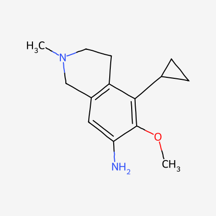 COc1c(N)cc2c(c1C1CC1)CCN(C)C2